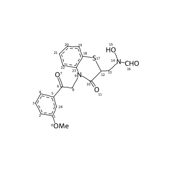 COc1cccc(C(=O)CN2C(=O)C(CN(O)C=O)Sc3ccccc32)c1